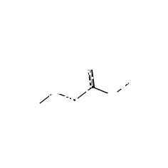 COC(=O)CPC